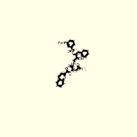 CCC[C@H](C)c1cccc(S(=O)(=O)NC(Cc2ccccc2)C(O)CNC(=O)[C@@H](CC(N)=O)NC(=O)c2ccc3ccccc3n2)c1